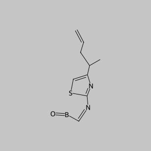 C=CCC(C)c1csc(/N=C\B=O)n1